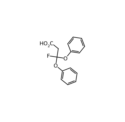 O=C(O)CC(F)(Oc1ccccc1)Oc1ccccc1